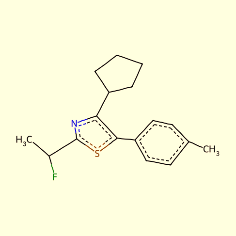 Cc1ccc(-c2sc(C(C)F)nc2C2CCCC2)cc1